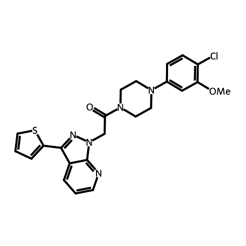 COc1cc(N2CCN(C(=O)Cn3nc(-c4cccs4)c4cccnc43)CC2)ccc1Cl